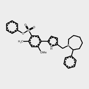 COc1cc(C)c(S(=O)(=O)Oc2ccccc2)cc1-c1ccc(CN2CCCCCC2c2ccccc2)[nH]1